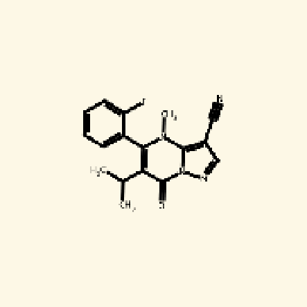 CC(C)c1c(-c2ccccc2F)n(C)c2c(C#N)cnn2c1=O